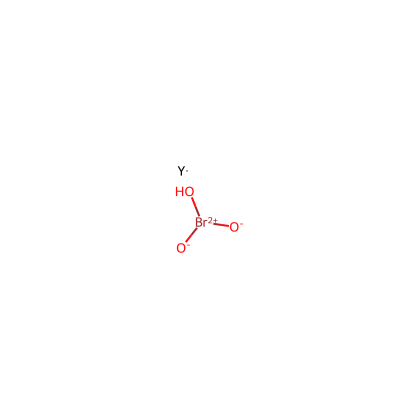 [O-][Br+2]([O-])O.[Y]